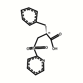 O=C(O)[C@@H](Cc1ccccc1)CS(=O)(=O)c1ccccn1